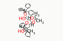 CC1(C)O[C@H]2[C@@H]([C@H](O)CO[Si](c3ccccc3)(c3ccccc3)C(C)(C)C)O[C@H](CC(C)(C)[Si](O)(c3ccccc3)c3ccccc3)[C@H]2O1